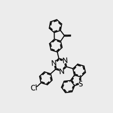 C=C1c2ccccc2-c2ccc(-c3nc(-c4ccc(Cl)cc4)nc(-c4cccc5sc6ccccc6c45)n3)cc21